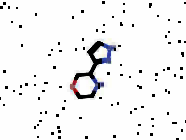 c1cc(C2COCCN2)n[nH]1